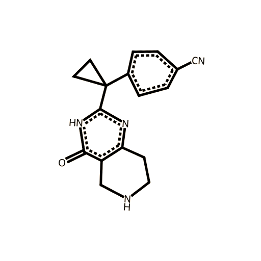 N#Cc1ccc(C2(c3nc4c(c(=O)[nH]3)CNCC4)CC2)cc1